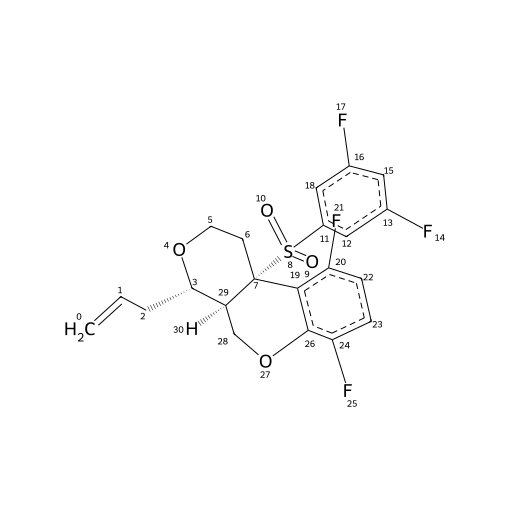 C=CC[C@@H]1OCC[C@@]2(S(=O)(=O)c3cc(F)cc(F)c3)c3c(F)ccc(F)c3OC[C@@H]12